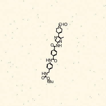 Cc1nc(NC(=O)c2ccc(C(=O)Nc3ccc(CNC(=O)OC(C)(C)C)cc3)cc2)cnc1C1=CCN(C=O)CC1